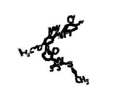 CCCSc1nn(C2CCN(c3cc4c(Nc5ccc(F)c(Cl)c5)ncnc4cc3OCC)C2=O)c(=S)s1